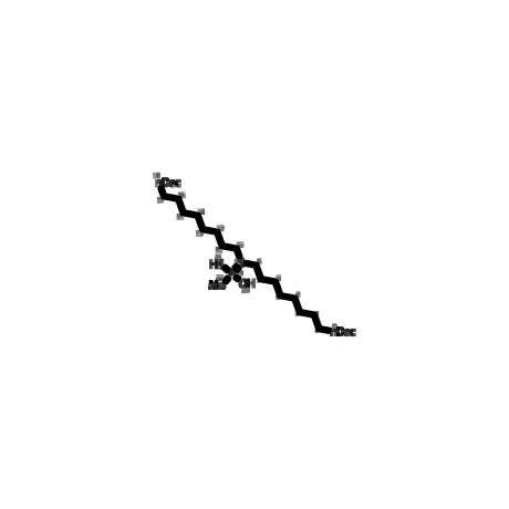 CCCCCCCCCCCCCCCCCCS(CCCCCCCCCCCCCCCCCC)=[P](O)(S)[Mo]